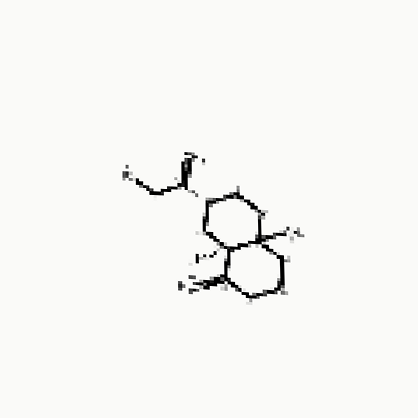 C=C(CO)[C@@H]1CCC2(C)CCCC(=C)[C@H]2C1